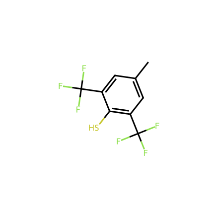 Cc1cc(C(F)(F)F)c(S)c(C(F)(F)F)c1